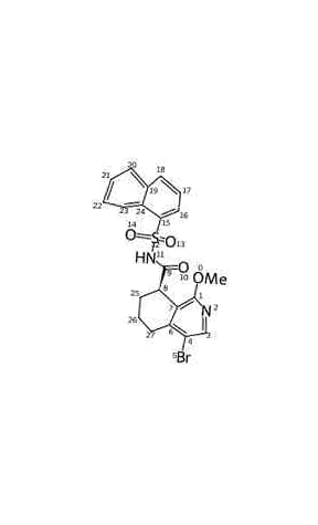 COc1ncc(Br)c2c1[C@H](C(=O)NS(=O)(=O)c1cccc3ccccc13)CCC2